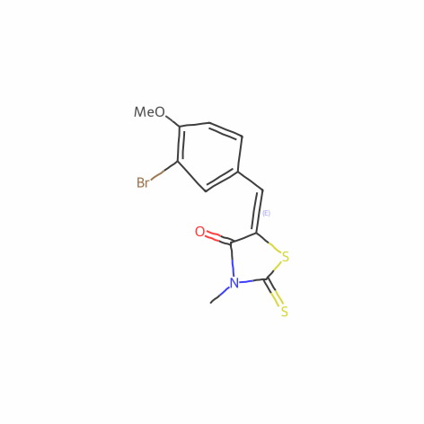 COc1ccc(/C=C2/SC(=S)N(C)C2=O)cc1Br